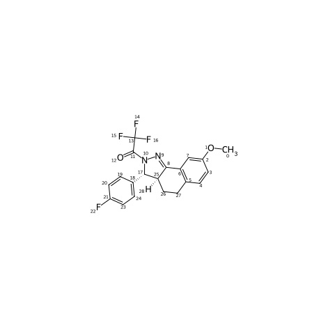 COc1ccc2c(c1)C1=NN(C(=O)C(F)(F)F)[C@@H](c3ccc(F)cc3)[C@@H]1CC2